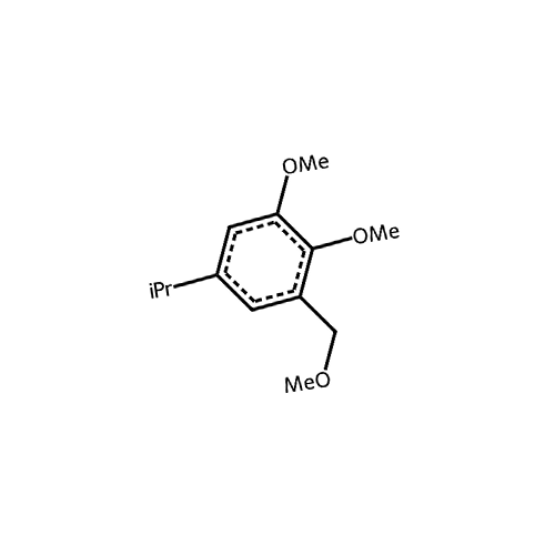 COCc1cc(C(C)C)cc(OC)c1OC